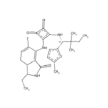 CCC1NC(=O)C2=C(Nc3c(N[C@@H](c4ccc(C)o4)C(C)(C)CC)c(=O)c3=O)C(F)=CCC21